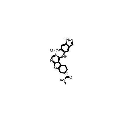 COc1cc2[nH]ncc2cc1Nc1ncnc2sc3c(c12)CC[C@H](C(=O)N(C)C)C3